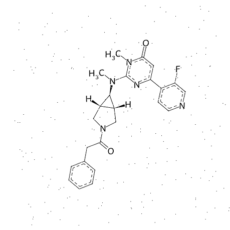 CN(c1nc(-c2ccncc2F)cc(=O)n1C)[C@H]1[C@@H]2CN(C(=O)Cc3ccccc3)C[C@@H]21